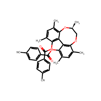 Cc1cc(C)c(OC(=O)c2ccc(C#N)cc2)c2c1OC[C@H](C)Oc1c(C)cc(C)c(OC(=O)c3ccc(C#N)cc3)c1-2